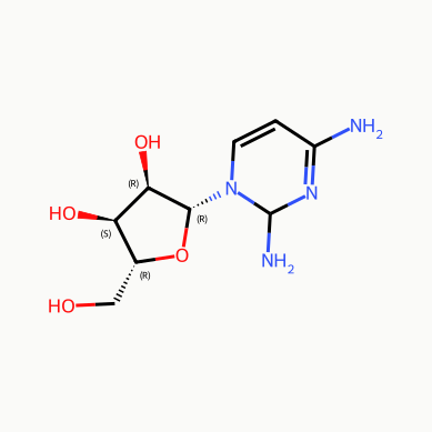 NC1=NC(N)N([C@@H]2O[C@H](CO)[C@@H](O)[C@H]2O)C=C1